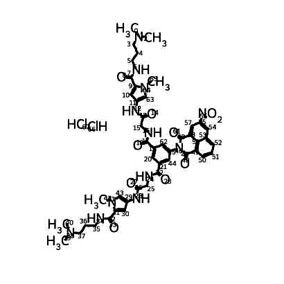 CN(C)CCCNC(=O)c1cc(NC(=O)CNC(=O)c2cc(C(=O)NCC(=O)Nc3cc(C(=O)NCCCN(C)C)n(C)c3)cc(N3C(=O)c4cccc5cc([N+](=O)[O-])cc(c45)C3=O)c2)cn1C.Cl.Cl